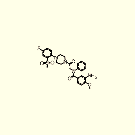 COc1ccc(C(=O)N(CC(=O)N2CCN(c3ccc(F)cc3S(C)(=O)=O)CC2)c2ccccc2)cc1N